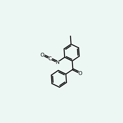 Cc1ccc(C(=O)c2ccccc2)c(N=C=O)c1